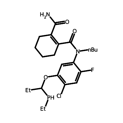 CCCCN(C(=O)C1=C(C(N)=O)CCCC1)c1cc(OC(CC)PCC)c(Cl)cc1F